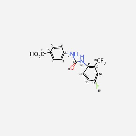 O=C(Nc1ccc(C(=O)O)cc1)Nc1ccc(F)cc1C(F)(F)F